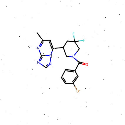 Cc1cc(C2CN(C(=O)c3cccc(Br)c3)CC(F)(F)C2)n2ncnc2n1